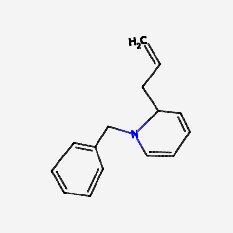 C=CCC1C=CC=CN1Cc1ccccc1